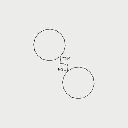 OC1(OOC2(O)CCCCCCCCCCCCCCC2)CCCCCCCCCCCCCCC1